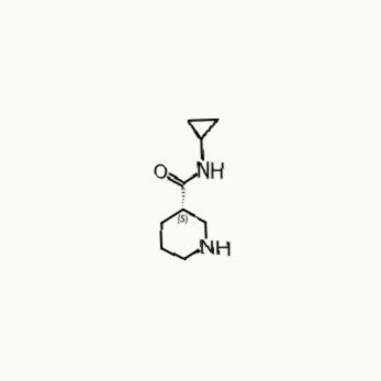 O=C(NC1CC1)[C@H]1CCCNC1